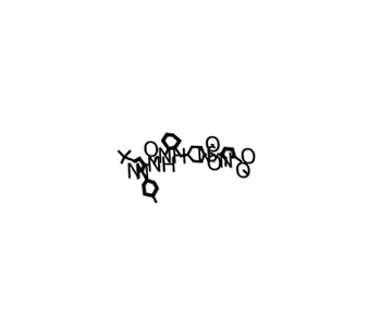 COC(=O)c1ccc(S(=O)(=O)N2CCC(Cc3ccccc3NC(=O)Nc3cc(C(C)(C)C)nn3-c3ccc(C)cc3)CC2)n1C